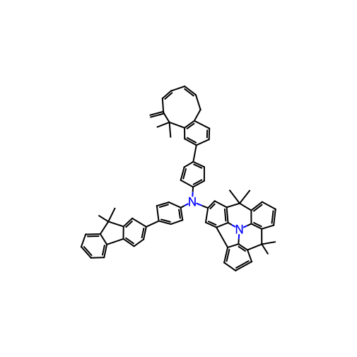 C=C1/C=C\C=C/Cc2ccc(-c3ccc(N(c4ccc(-c5ccc6c(c5)C(C)(C)c5ccccc5-6)cc4)c4cc5c6c(c4)c4cccc7c4n6-c4c(cccc4C5(C)C)C7(C)C)cc3)cc2C1(C)C